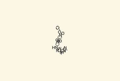 Cc1ncc(-c2nc(NC3CCN(S(=O)(=O)C4CCN(C(=O)OCc5ccccc5)CC4)CC3)ncc2F)n1C(C)C